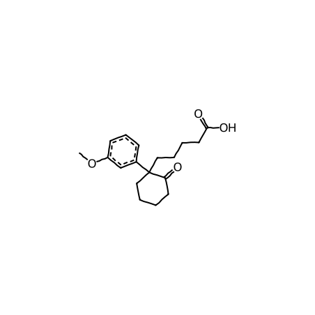 COc1cccc(C2(CCCCC(=O)O)CCCCC2=O)c1